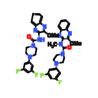 COc1nc2ccccc2nc1N(C)C(=O)N1CCN(c2cc(F)cc(F)c2)CC1.COc1nc2ccccc2nc1NC(=O)N1CCN(c2cc(F)cc(F)c2)CC1